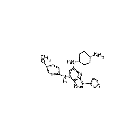 COc1ccc(Nc2cc(N[C@H]3CC[C@H](N)CC3)nn3c(-c4ccsc4)cnc23)cc1